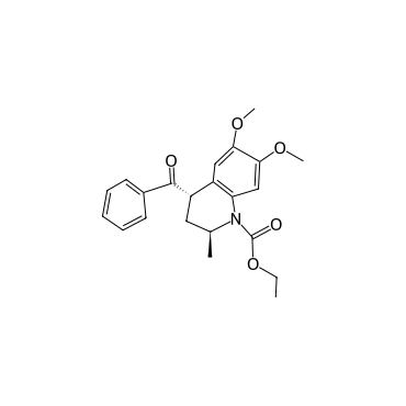 CCOC(=O)N1c2cc(OC)c(OC)cc2[C@@H](C(=O)c2ccccc2)C[C@@H]1C